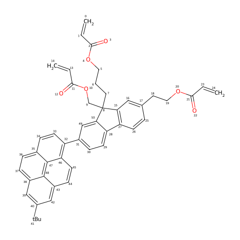 C=CC(=O)OCCCC1(COC(=O)C=C)c2cc(CCOC(=O)C=C)ccc2-c2ccc(-c3ccc4ccc5cc(C(C)(C)C)cc6ccc3c4c56)cc21